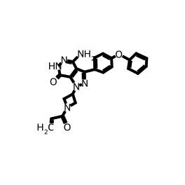 C=CC(=O)N1CC(n2nc(-c3ccc(Oc4ccccc4)cc3)c3c(N)n[nH]c(=O)c32)C1